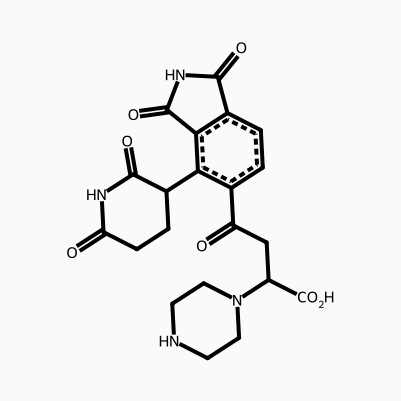 O=C1CCC(c2c(C(=O)CC(C(=O)O)N3CCNCC3)ccc3c2C(=O)NC3=O)C(=O)N1